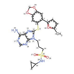 Cc1ccc(-c2cc3c(cc2Sc2nc4c(N)ncnc4n2CCCS(=O)(=O)NC2CC2)OCO3)o1